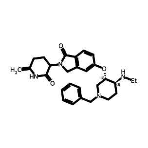 C=C1CCC(N2Cc3cc(O[C@H]4CN(Cc5ccccc5)CC[C@@H]4NCC)ccc3C2=O)C(=O)N1